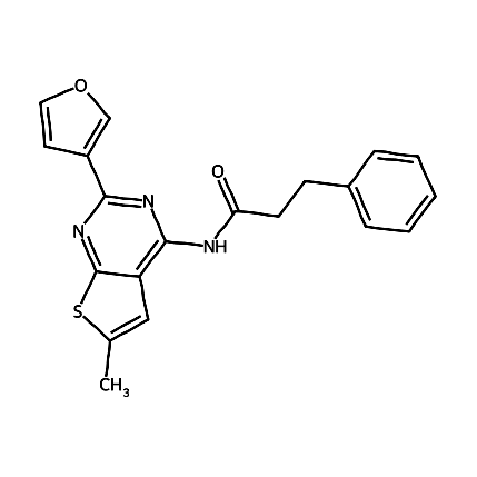 Cc1cc2c(NC(=O)CCc3ccccc3)nc(-c3ccoc3)nc2s1